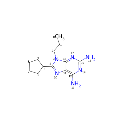 CCCn1c(C2CCCC2)nc2c(N)nc(N)nc21